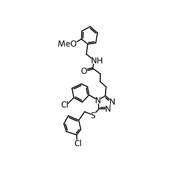 COc1ccccc1CNC(=O)CCCc1nnc(SCc2cccc(Cl)c2)n1-c1cccc(Cl)c1